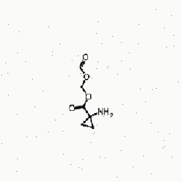 NC1(C(=O)OCO[C]=O)CC1